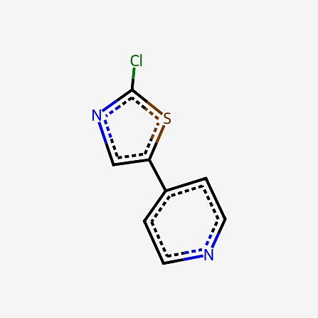 Clc1ncc(-c2ccncc2)s1